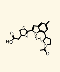 CC(=O)N1CCC(c2cc(C)cc3cc(C4=NC(CC(=O)O)CS4)n(N)c23)C1